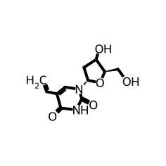 C=Cc1cn([C@@H]2CC(O)[C@@H](CO)O2)c(=O)[nH]c1=O